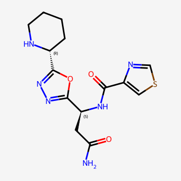 NC(=O)C[C@H](NC(=O)c1cscn1)c1nnc([C@H]2CCCCN2)o1